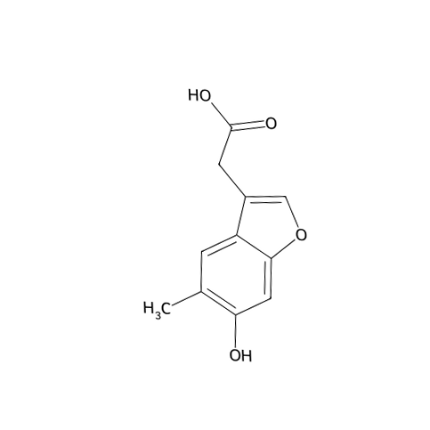 Cc1cc2c(CC(=O)O)coc2cc1O